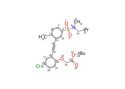 Cc1ccc(S(=O)(=O)N(C)CC(C)C)cc1C#Cc1cc(Cl)ccc1OCC(=O)OC(C)(C)C